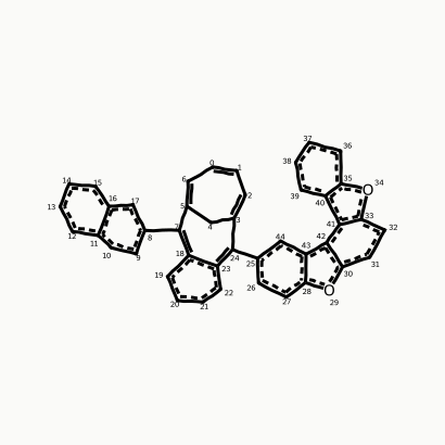 C1=CC=C2CC(=C1)C(c1ccc3ccccc3c1)=c1ccccc1=C2c1ccc2oc3ccc4oc5ccccc5c4c3c2c1